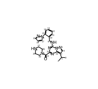 CC(C)c1cnn2c(NCc3ccccc3-n3cccn3)nc(C(=O)N3CCNCC3)nc12